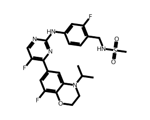 CC(C)N1CCOc2c(F)cc(-c3nc(Nc4ccc(CNS(C)(=O)=O)c(F)c4)ncc3F)cc21